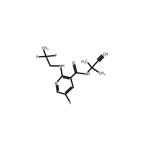 C#CC(C)(C)NC(=O)c1cc(F)cnc1NCC(C)(F)F